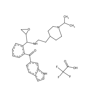 CC(C)N1CCC(CCNC(c2ccccc2C(=O)c2ccc3cc[nH]c3c2)C2CO2)CC1.O=C(O)C(F)(F)F